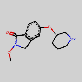 CON1Cc2cc(O[C@@H]3CCCNC3)ccc2C1=O